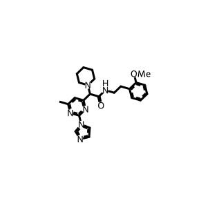 COc1ccccc1CCNC(=O)C(c1cc(C)nc(-n2ccnc2)n1)N1CCCCC1